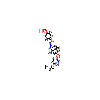 Cc1ccc(O[C@H]2C[C@@H]3CN(CCc4ccc(O)cc4)C[C@@H]3C2)cn1